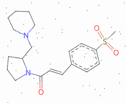 CS(=O)(=O)c1ccc(C=CC(=O)N2CCCC2CN2CCCCC2)cc1